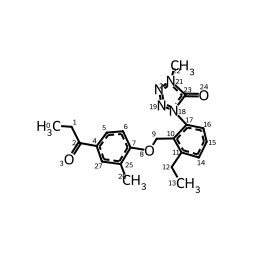 CCC(=O)c1ccc(OCc2c(CC)cccc2-n2nnn(C)c2=O)c(C)c1